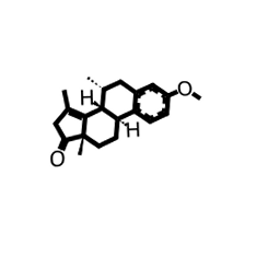 COc1ccc2c(c1)C[C@@H](C)[C@H]1C3=C(C)CC(=O)[C@@]3(C)CC[C@H]21